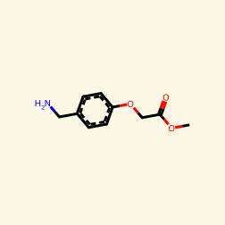 COC(=O)COc1ccc(CN)cc1